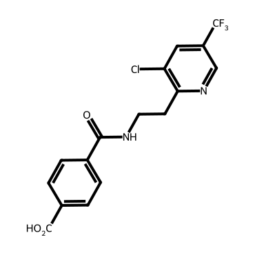 O=C(O)c1ccc(C(=O)NCCc2ncc(C(F)(F)F)cc2Cl)cc1